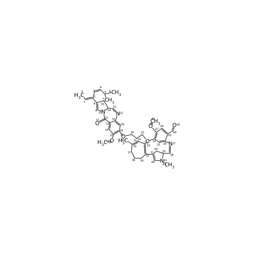 C/C=C(\C=C/C(C)C)C1=CN2C(=O)c3cc(OC)c(OCCCOc4cc(/N=C\C5CC(C6=CC=C(C)CCC6)=CN5C)c(C=O)cc4OC)cc3N=CC2C1